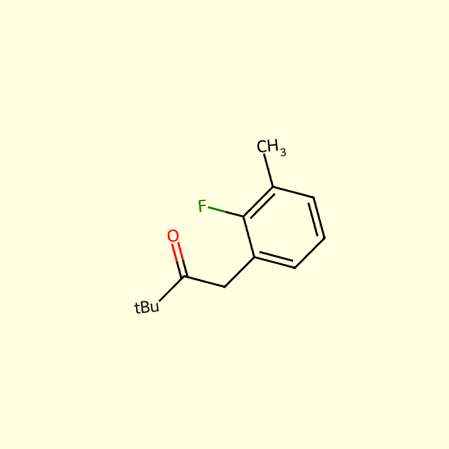 Cc1cccc(CC(=O)C(C)(C)C)c1F